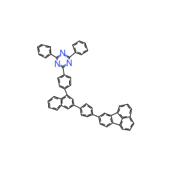 c1ccc(-c2nc(-c3ccccc3)nc(-c3ccc(-c4cc(-c5ccc(-c6ccc7c(c6)-c6cccc8cccc-7c68)cc5)cc5ccccc45)cc3)n2)cc1